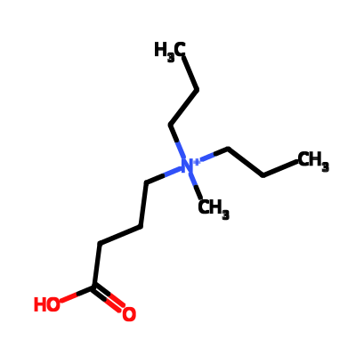 CCC[N+](C)(CCC)CCCC(=O)O